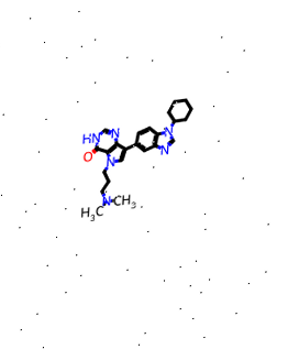 CN(C)CCCn1cc(-c2ccc3c(c2)ncn3C2CCCCC2)c2nc[nH]c(=O)c21